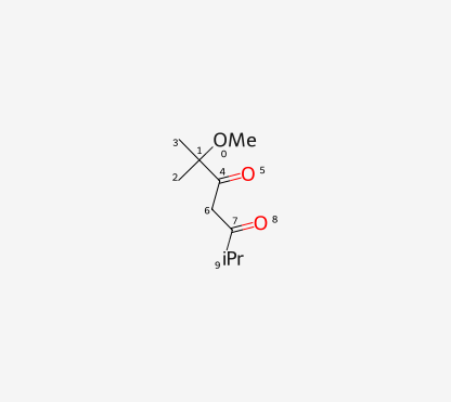 COC(C)(C)C(=O)CC(=O)C(C)C